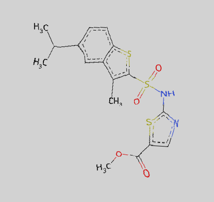 COC(=O)c1cnc(NS(=O)(=O)c2sc3ccc(C(C)C)cc3c2C)s1